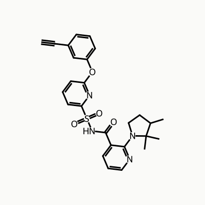 C#Cc1cccc(Oc2cccc(S(=O)(=O)NC(=O)c3cccnc3N3CCC(C)C3(C)C)n2)c1